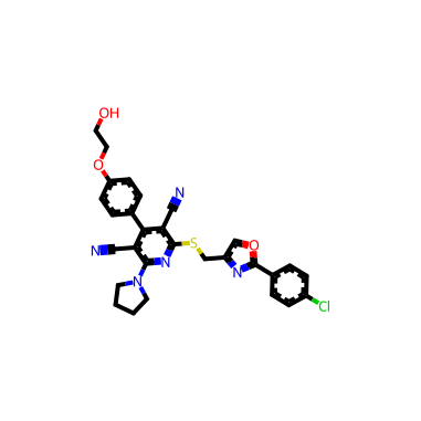 N#Cc1c(SCc2coc(-c3ccc(Cl)cc3)n2)nc(N2CCCC2)c(C#N)c1-c1ccc(OCCO)cc1